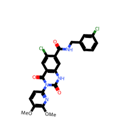 COc1ccc(-n2c(=O)[nH]c3cc(C(=O)NCc4cccc(Cl)c4)c(Cl)cc3c2=O)nc1OC